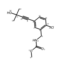 COC(=O)NCc1cc(C#CC(C)(C)O)ccc1Cl